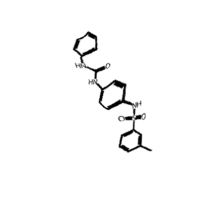 Cc1cccc(S(=O)(=O)Nc2ccc(NC(=O)Nc3ccccc3)cc2)c1